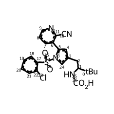 CC(C)(C)C(Cc1cc(-c2cccnc2C#N)n(S(=O)(=O)c2ccccc2Cl)c1)NC(=O)O